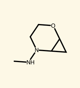 CNN1CCOC2CC21